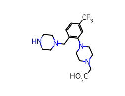 O=C(O)CN1CCN(c2cc(C(F)(F)F)ccc2CN2CCNCC2)CC1